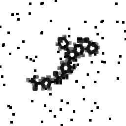 COc1ncccc1-c1ccc2c(N3CCOCC3)nc(-c3ccc(NC(=O)Nc4ccc(C(=O)N(C)C)cc4)cc3F)nc2c1